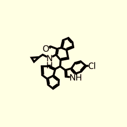 O=Cc1c(NCC2CC2)c(C(c2cccc3ccccc23)c2c[nH]c3cc(Cl)ccc23)cc2ccccc12